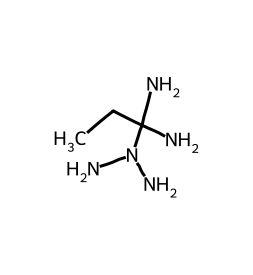 CCC(N)(N)N(N)N